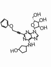 OC[C@H]1O[C@@H](n2cnc3c(NC4CCC(O)C4)nc(C#CCOc4ccccc4)nc32)[C@H](O)[C@@H]1O